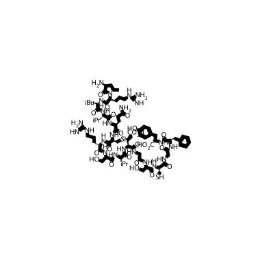 CC[C@H](C)[C@H](NC(=O)[C@H](CCCNC(=N)N)N1C(=O)[C@@H](N)CC1C)C(=O)N[C@H](C(=O)N[C@@H](CCC(N)=O)C(=O)N[C@@H](CS)C(=O)N[C@@H](CCCNC(=N)N)C(=O)NC(CO)C(=O)N[C@H](C(=O)N[C@@H](CCC(=O)O)C(=O)NCC(=O)NC(CO)C(=O)N[C@@H](CS)C(=O)NCC(=O)N[C@@H](Cc1ccccc1)C(=O)NC(Cc1ccc(O)cc1)C(=O)O)C(C)C)C(C)C